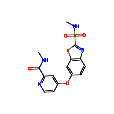 CNC(=O)c1cc(Oc2ccc3nc(S(=O)(=O)NC)sc3c2)ccn1